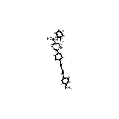 Nc1ccc(C#CC#Cc2ccc(C(=O)N[C@@H](Cc3ccccc3)C(=O)NO)cc2)cc1